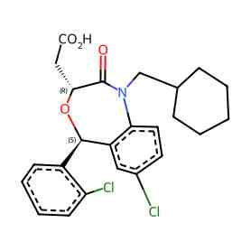 O=C(O)C[C@H]1O[C@H](c2ccccc2Cl)c2cc(Cl)ccc2N(CC2CCCCC2)C1=O